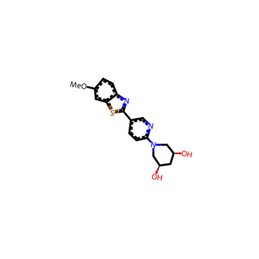 COc1ccc2nc(-c3ccc(N4C[C@H](O)C[C@H](O)C4)nc3)sc2c1